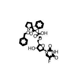 O=C(OP(=O)(O)OC[C@H]1O[C@@H](n2cc(F)c(=O)[nH]c2=O)C[C@@H]1O)[C@]1(c2ccccc2)CCCN1OCc1ccccc1